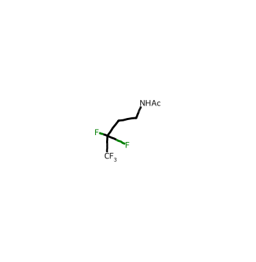 CC(=O)NCCC(F)(F)C(F)(F)F